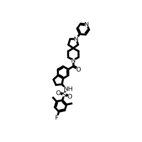 Cc1cc(F)cc(C)c1S(=O)(=O)NC1CCc2ccc(C(=O)N3CCC4(CC3)CCN(c3ccncc3)C4)cc21